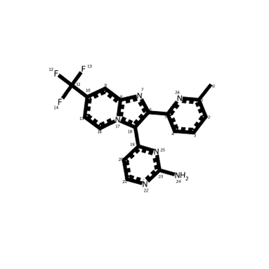 Cc1cccc(-c2nc3cc(C(F)(F)F)ccn3c2-c2ccnc(N)n2)n1